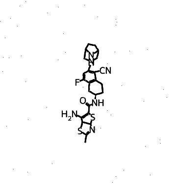 CC1=NC2SC(C(=O)N[C@@H]3CCc4c(C#N)c(N5CC6CCC(C5)N6)cc(F)c4C3)=C(N)C2S1